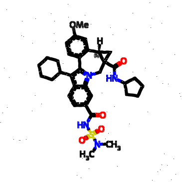 COc1ccc2c(c1)[C@@H]1CC1(C(=O)NC1CCCC1)Cn1c-2c(C2CCCCC2)c2ccc(C(=O)NS(=O)(=O)N(C)C)cc21